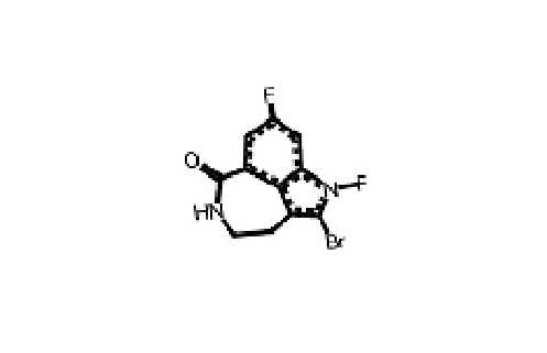 O=C1NCCc2c(Br)n(F)c3cc(F)cc1c23